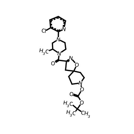 CC1CN(c2ncccc2Cl)CCN1C(=O)C1=NOC2(CCN(OC(=O)OC(C)(C)C)CC2)C1